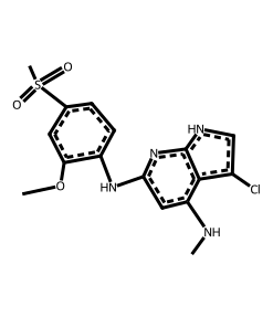 CNc1cc(Nc2ccc(S(C)(=O)=O)cc2OC)nc2[nH]cc(Cl)c12